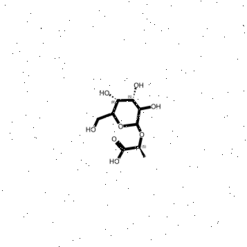 C[C@H](OC1OC(CO)[C@H](O)[C@H](O)C1O)C(=O)O